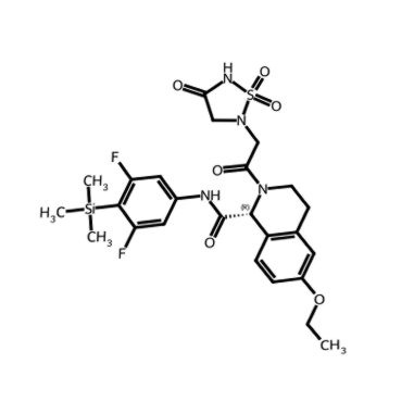 CCOc1ccc2c(c1)CCN(C(=O)CN1CC(=O)NS1(=O)=O)[C@H]2C(=O)Nc1cc(F)c([Si](C)(C)C)c(F)c1